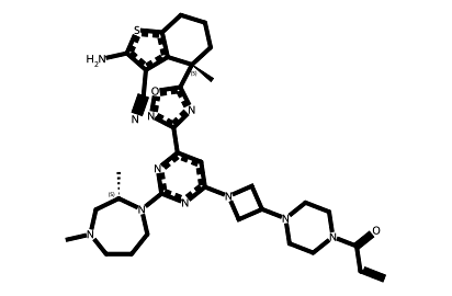 C=CC(=O)N1CCN(C2CN(c3cc(-c4noc([C@@]5(C)CCCc6sc(N)c(C#N)c65)n4)nc(N4CCCN(C)C[C@@H]4C)n3)C2)CC1